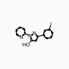 Oc1cc(-c2cccc(I)c2)nn1-c1ccccn1